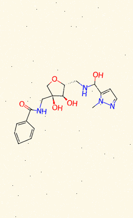 Cn1nccc1C(O)NC[C@H]1OC[C@@](O)(CNC(=O)c2ccccc2)[C@@H]1O